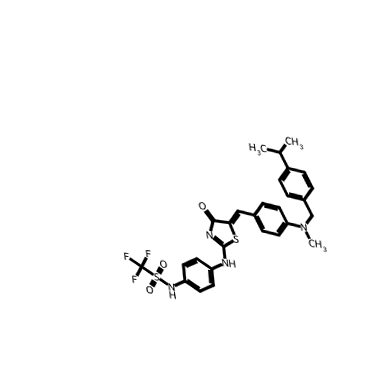 CC(C)c1ccc(CN(C)c2ccc(/C=C3\SC(Nc4ccc(NS(=O)(=O)C(F)(F)F)cc4)=NC3=O)cc2)cc1